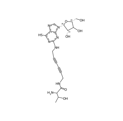 CC(O)C(N)C(=O)NCC#CC#CCNc1nc(S)c2ncn([C@@H]3O[C@H](CO)C(O)[C@@H]3O)c2n1